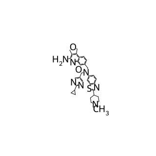 CN1CCC(c2nc3ccc(N(Cc4ccc5c6c(c(N)nc5c4)COC6)C(=O)c4cnc(C5CC5)nc4)cc3s2)CC1